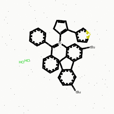 CC(C)(C)c1ccc2c(c1)-c1cc(C(C)(C)C)c[c]([Zr]([C]3=C(c4ccsc4)C=CC3)=[C](c3ccccc3)c3ccccc3)c1C2.Cl.Cl